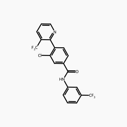 O=C(Nc1cccc(C(F)(F)F)c1)c1ccc(-c2ncccc2C(F)(F)F)c(Cl)c1